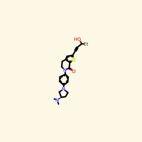 CCC(O)C#Cc1cc2c(s1)C(=O)N(c1ccc(N3CC[C@@H](N(C)C)C3)cc1)CC2